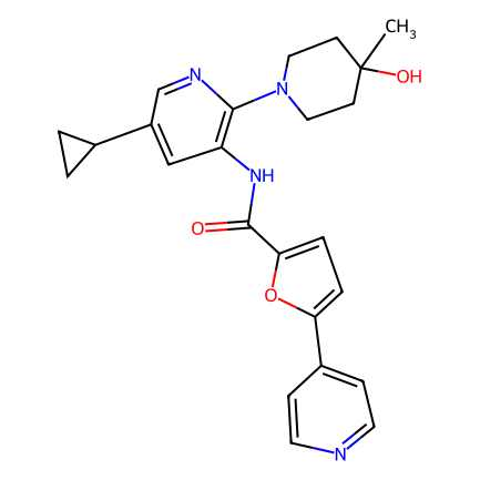 CC1(O)CCN(c2ncc(C3CC3)cc2NC(=O)c2ccc(-c3ccncc3)o2)CC1